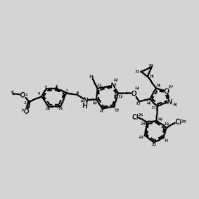 COC(=O)c1ccc(CNc2ccc(OCc3c(-c4c(Cl)cccc4Cl)noc3C3CC3)nc2C)cc1